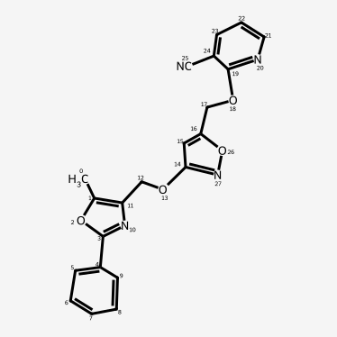 Cc1oc(-c2ccccc2)nc1COc1cc(COc2ncccc2C#N)on1